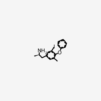 Cc1cc(C[C@@H](C)N)cc(I)c1Oc1ccccc1